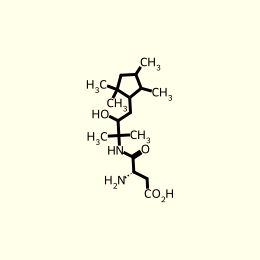 CC1CC(C)(C)C(CC(O)C(C)(C)NC(=O)[C@@H](N)CC(=O)O)C1C